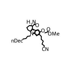 CCCCCCCCCCCCCCn1c2c(c3cc(OCC(=O)OC)c(CCCCCC#N)cc31)C(C(N)=O)CCC2